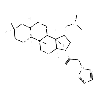 CN(C)C[C@@H]1C[C@H](C(=O)Cn2nccn2)[C@@]2(C)CC[C@H]3[C@@H](CC[C@@H]4C[C@](C)(O)CC[C@@H]43)[C@H]12